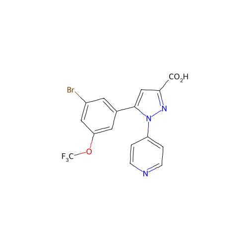 O=C(O)c1cc(-c2cc(Br)cc(OC(F)(F)F)c2)n(-c2ccncc2)n1